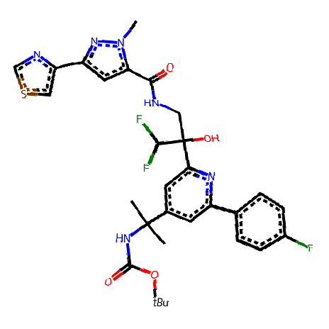 Cn1nc(-c2cscn2)cc1C(=O)NCC(O)(c1cc(C(C)(C)NC(=O)OC(C)(C)C)cc(-c2ccc(F)cc2)n1)C(F)F